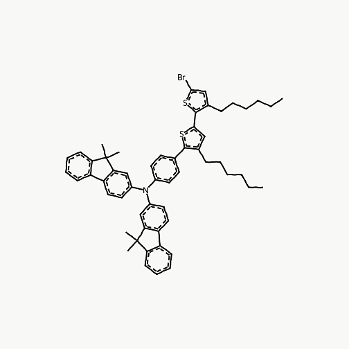 CCCCCCc1cc(-c2sc(Br)cc2CCCCCC)sc1-c1ccc(N(c2ccc3c(c2)C(C)(C)c2ccccc2-3)c2ccc3c(c2)C(C)(C)c2ccccc2-3)cc1